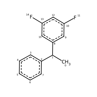 CC(c1ccccc1)c1cc(F)cc(F)c1